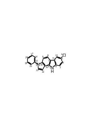 Clc1ccc2[nH]c3c(ccc4c3ccn4-c3ccccc3)c2c1